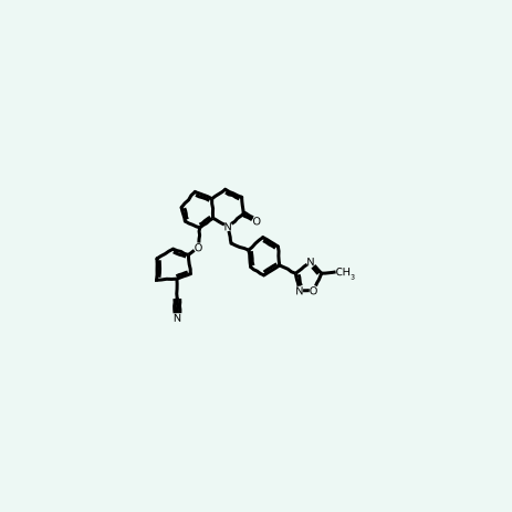 Cc1nc(-c2ccc(Cn3c(=O)ccc4cccc(Oc5cccc(C#N)c5)c43)cc2)no1